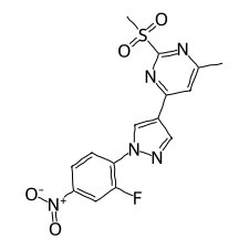 Cc1cc(-c2cnn(-c3ccc([N+](=O)[O-])cc3F)c2)nc(S(C)(=O)=O)n1